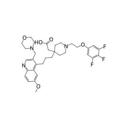 COc1ccc2ncc(CN3CCOCC3)c(CCCC3(CC(=O)O)CCN(CCOc4cc(F)c(F)c(F)c4)CC3)c2c1